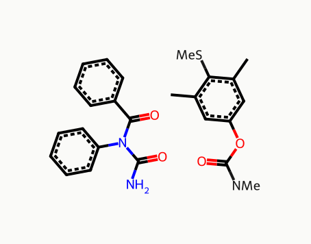 CNC(=O)Oc1cc(C)c(SC)c(C)c1.NC(=O)N(C(=O)c1ccccc1)c1ccccc1